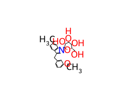 COc1cccc(Cc2cn([C@@H]3O[C@H](CO)[C@@H](O)[C@H](O)[C@H]3O)c3cc(C)ccc23)c1